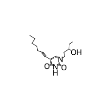 CCCCCC#Cc1cn(CCC(O)CC)c(=O)[nH]c1=O